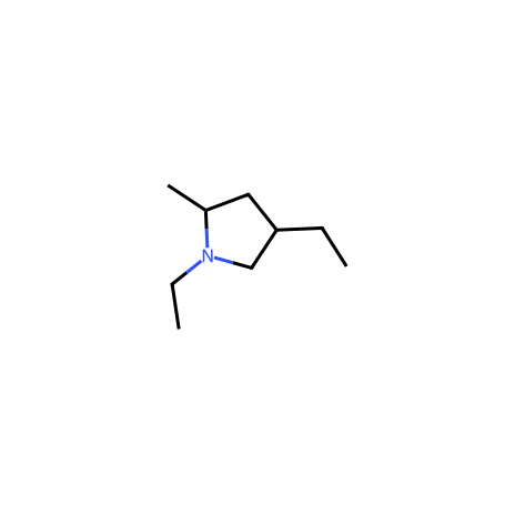 CCC1CC(C)N(CC)C1